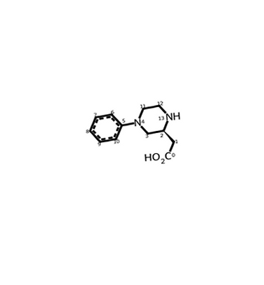 O=C(O)C[C@H]1CN(c2ccccc2)CCN1